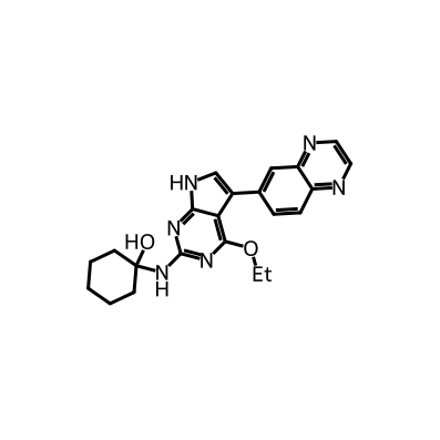 CCOc1nc(NC2(O)CCCCC2)nc2[nH]cc(-c3ccc4nccnc4c3)c12